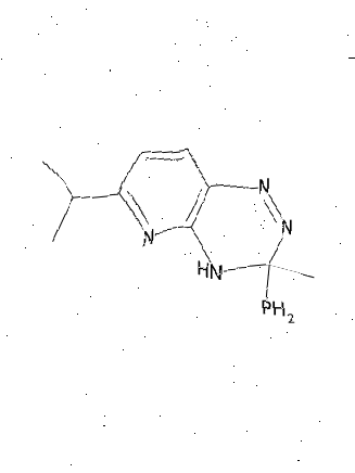 CC(C)c1ccc2c(n1)NC(C)(P)N=N2